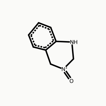 O=[N+]1CNc2ccccc2C1